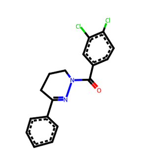 O=C(c1ccc(Cl)c(Cl)c1)N1CCCC(c2ccccc2)=N1